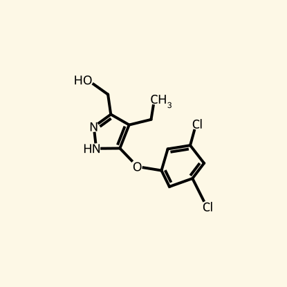 CCc1c(CO)n[nH]c1Oc1cc(Cl)cc(Cl)c1